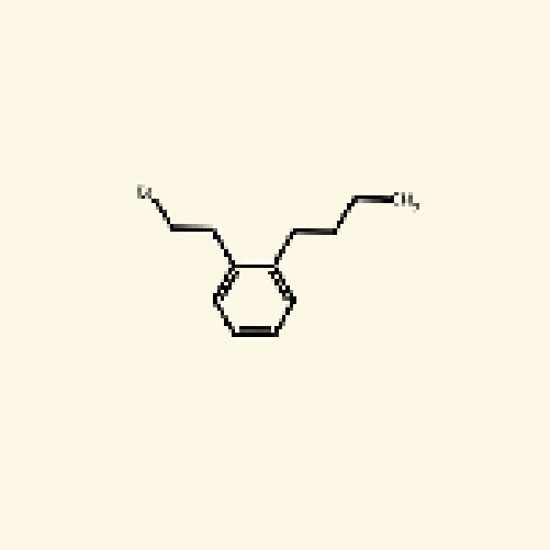 CCCCc1ccccc1CCBr